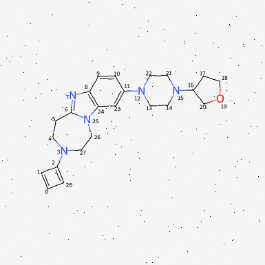 C1=CC(N2CCc3nc4ccc(N5CCN(C6CCOC6)CC5)cc4n3CC2)=C1